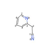 N#CCc1cc[c]cn1